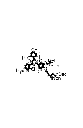 CCCCCCCCCCCCC(CCCCCCCCC)CCCOc1ccc(-c2nc(-c3ccc(C)cc3C)nc(-c3ccc(C)cc3C)n2)c(O)c1OCC(C)O